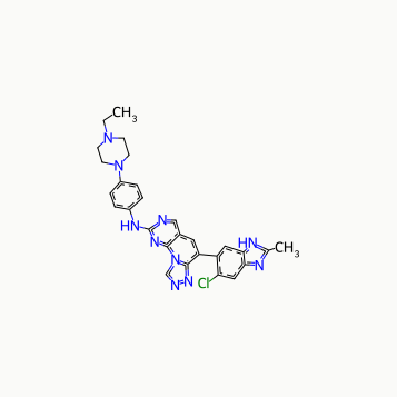 CCN1CCN(c2ccc(Nc3ncc4cc(-c5cc6[nH]c(C)nc6cc5Cl)c5nncn5c4n3)cc2)CC1